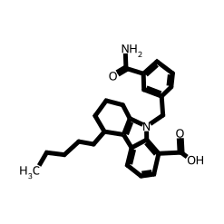 CCCCCC1CCCc2c1c1cccc(C(=O)O)c1n2Cc1cccc(C(N)=O)c1